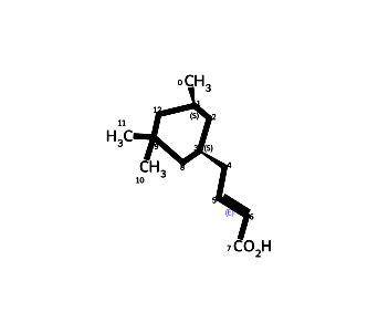 C[C@H]1C[C@@H](C/C=C/C(=O)O)CC(C)(C)C1